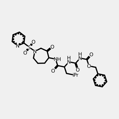 CC(C)CC(NC(=O)NC(=O)OCc1ccccc1)C(=O)NC1CCCN(S(=O)(=O)c2ccccn2)CC1=O